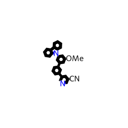 COc1cc(-c2cccc(-c3cncc(C#N)c3)c2)cc(-n2c3ccccc3c3ccccc32)c1